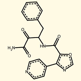 NC(=O)C(=O)C(Cc1ccccc1)NC(=O)c1ocnc1-c1ccncc1